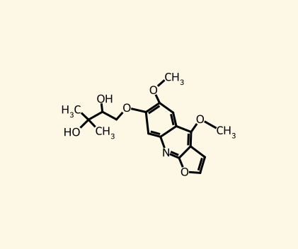 COc1cc2c(OC)c3ccoc3nc2cc1OCC(O)C(C)(C)O